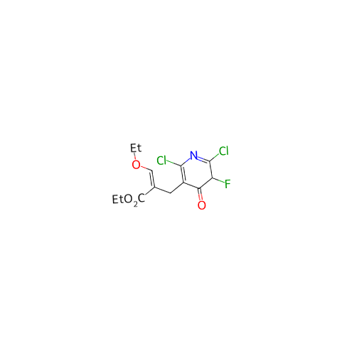 CCOC=C(CC1=C(Cl)N=C(Cl)C(F)C1=O)C(=O)OCC